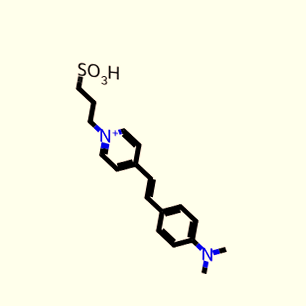 CN(C)c1ccc(/C=C/c2cc[n+](CCCS(=O)(=O)O)cc2)cc1